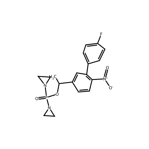 CC(OP(=O)(N1CC1)N1CC1)c1ccc([N+](=O)[O-])c(-c2ccc(F)cc2)c1